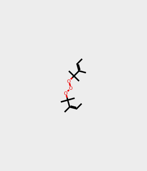 CC=C(C)C(C)(C)OOOC(C)(C)C(C)=CC